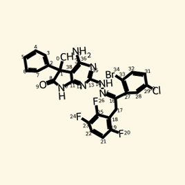 CC1(c2ccccc2)C(=O)Nc2nc(N/N=C(/Cc3c(F)ccc(F)c3F)c3cc(Cl)ccc3Br)nc(N)c21